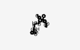 COc1ccc2c(c1)C=C(C(=O)NCCN(C)CCNS(=O)(=O)c1ccccc1[N+](=O)[O-])Cn1c-2c(C2CCCCC2)c2ccc(C(=O)OC(C)(C)C)cc21